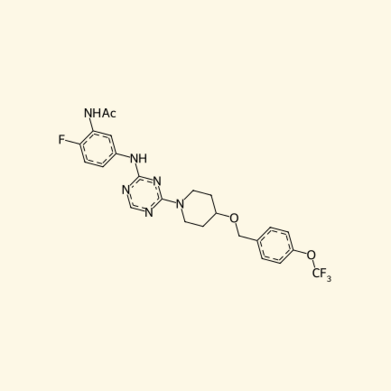 CC(=O)Nc1cc(Nc2ncnc(N3CCC(OCc4ccc(OC(F)(F)F)cc4)CC3)n2)ccc1F